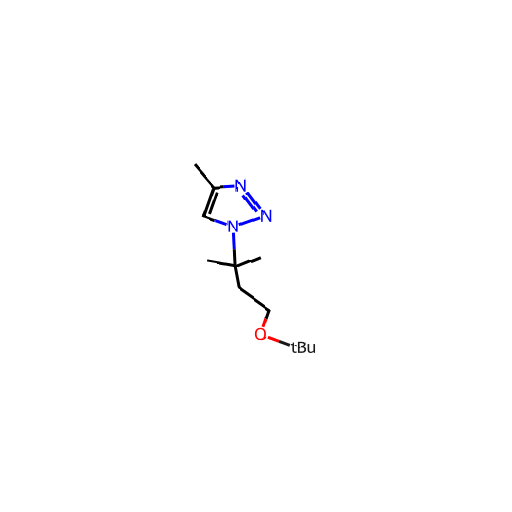 Cc1cn(C(C)(C)CCOC(C)(C)C)nn1